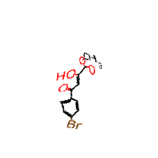 COC(=O)C(O)=CC(=O)c1ccc(Br)cc1